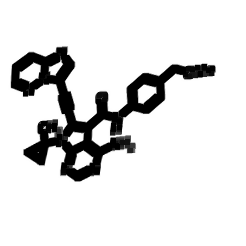 COCc1ccc(NC(=O)c2c(C#Cc3cnc4cccnn34)n(C3(C)CC3)c3ncnc(N)c23)cc1